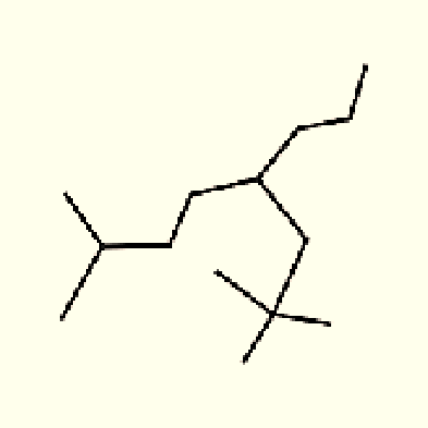 CCCC(CCC(C)C)CC(C)(C)C